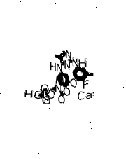 COc1cc(Nc2ncc(C)c(Nc3ccc4oc(=O)n(COP(=O)(O)O)c4c3)n2)cc(C)c1F.[Ca]